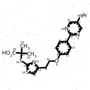 CCCc1cnc(-c2ccc(OCCc3csc(SC(C)(C)C(=O)O)n3)cc2)nc1